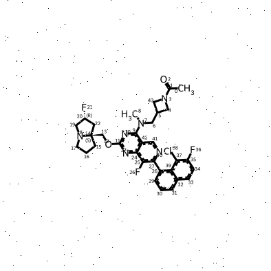 CC(=O)N1CC(CN(C)c2nc(OC[C@@]34CCCN3C[C@H](F)C4)nc3c(F)c(-c4cccc5ccc(F)c(Cl)c45)ncc23)C1